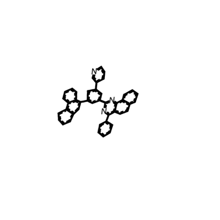 c1ccc(-c2nc(-c3cc(-c4cccnc4)cc(-c4cc5ccccc5c5ccccc45)c3)nc3c2ccc2ccccc23)cc1